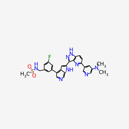 CN(C)c1cncc(-c2ccc3[nH]nc(-c4cc5c(-c6cc(F)cc(CNS(C)(=O)=O)c6)cncc5[nH]4)c3n2)c1